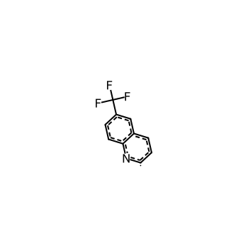 FC(F)(F)c1ccc2n[c]ccc2c1